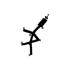 CC1(C)CC1(C)C#N